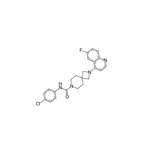 O=C(Nc1ccc(Cl)cc1)N1CCC2(CC1)CN(c1ccnc3ccc(F)cc13)C2